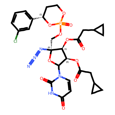 [N-]=[N+]=N[C@]1(COP2(=O)OCC[C@@H](c3cccc(Cl)c3)O2)OC(n2ccc(=O)[nH]c2=O)[C@H](OC(=O)CC2CC2)[C@@H]1OC(=O)CC1CC1